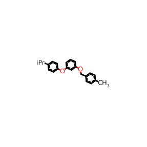 Cc1ccc(COc2cccc(Oc3ccc(C(C)C)cc3)c2)cc1